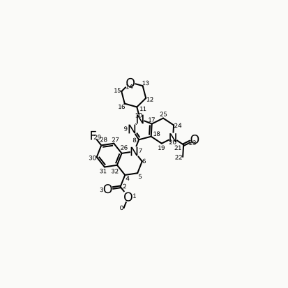 COC(=O)C1CCN(c2nn(C3CCOCC3)c3c2CN(C(C)=O)CC3)c2cc(F)ccc21